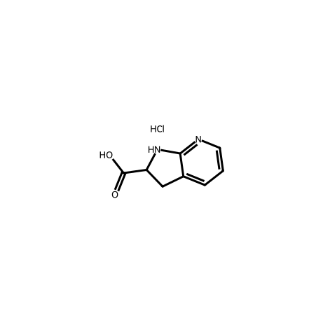 Cl.O=C(O)C1Cc2cccnc2N1